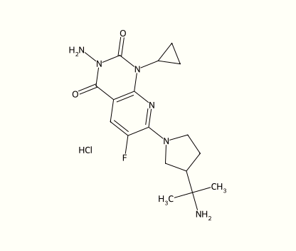 CC(C)(N)C1CCN(c2nc3c(cc2F)c(=O)n(N)c(=O)n3C2CC2)C1.Cl